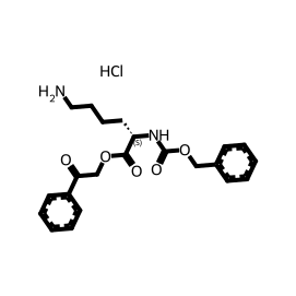 Cl.NCCCC[C@H](NC(=O)OCc1ccccc1)C(=O)OCC(=O)c1ccccc1